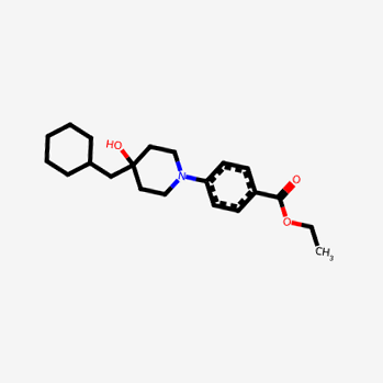 CCOC(=O)c1ccc(N2CCC(O)(CC3CCCCC3)CC2)cc1